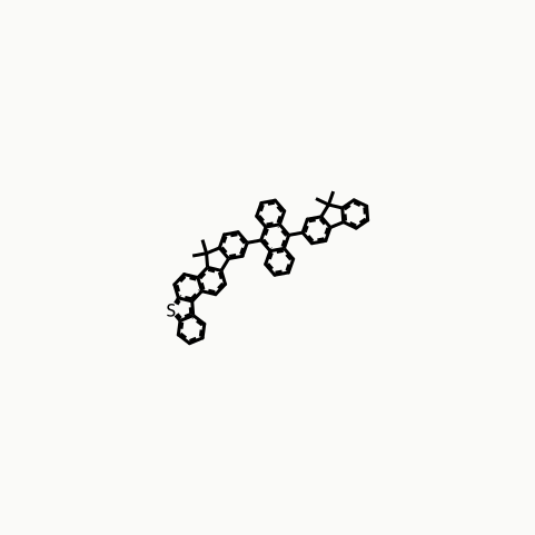 CC1(C)c2ccccc2-c2ccc(-c3c4ccccc4c(-c4ccc5c(c4)-c4ccc6c(ccc7sc8ccccc8c76)c4C5(C)C)c4ccccc34)cc21